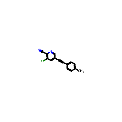 Cc1ccc(C#Cc2cnc(C#N)c(Cl)c2)cc1